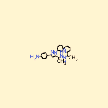 C=C(NNC(=C)c1cc(-c2ccc(N)cc2)nn1-c1ccccc1)c1ccccn1